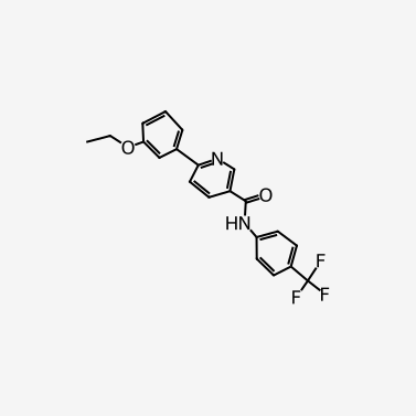 CCOc1cccc(-c2ccc(C(=O)Nc3ccc(C(F)(F)F)cc3)cn2)c1